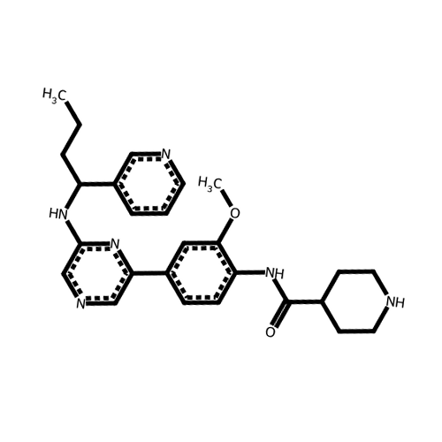 CCCC(Nc1cncc(-c2ccc(NC(=O)C3CCNCC3)c(OC)c2)n1)c1cccnc1